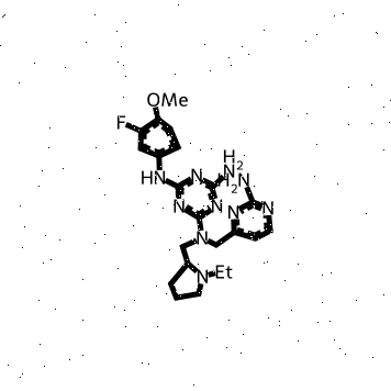 CCN1CCCC1CN(Cc1ccnc(N)n1)c1nc(N)nc(Nc2ccc(OC)c(F)c2)n1